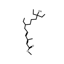 CCC(C/C=C/C(C)=C/C(=O)OC)CCCC(O)(CC)CC